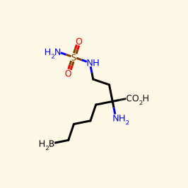 BCCCCC(N)(CCNS(N)(=O)=O)C(=O)O